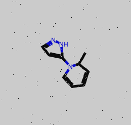 CC1C=CC=CN1c1ccn[nH]1